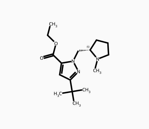 CCOC(=O)c1cc(C(C)(C)C)nn1C[C@@H]1CCCN1C